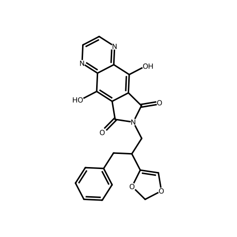 O=C1c2c(c(O)c3nccnc3c2O)C(=O)N1CC(Cc1ccccc1)C1=COCO1